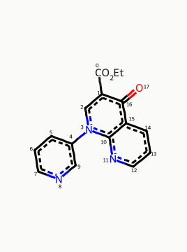 CCOC(=O)c1cn(-c2cccnc2)c2ncccc2c1=O